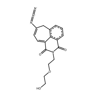 [N-]=[N+]=NC1=CC=C2C(=O)N(CCOCCO)C(=O)c3cccc(c32)C1